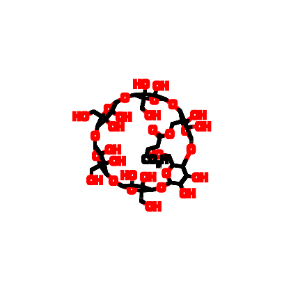 O=C(O)CCC(=O)OCC1OC2OC3C(CO)OC(OC4C(CO)OC(OC5C(CO)OC(OC6C(CO)OC(OC7C(CO)OC(OC1C(O)C2O)C(O)C7O)C(O)C6O)C(O)C5O)C(O)C4O)C(O)C3O